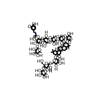 COc1cc(/C=C/C(=O)O[C@H]2[C@H](O[C@@H]3[C@@H](O)[C@H](O[C@@H]4CO[C@@H](O[C@@H]5[C@@H](O)[C@H](C)O[C@@H](O[C@H]6[C@H](O[C@H]7CC[C@]8(C)[C@H]9CC=C%10[C@@H]%11CC(C)(C)CC[C@]%11(C(=O)O[C@@H]%11O[C@H](CO[C@@H]%12O[C@H](CO)[C@@H](O[C@@H]%13O[C@@H](C)[C@H](O)[C@@H](O)[C@H]%13O)[C@H](O)[C@H]%12O)[C@@H](O)[C@H](O)[C@H]%11O)CC[C@@]%10(C)[C@]9(C)CC[C@H]8C7(C)C)OC[C@H](O)[C@@H]6O)[C@@H]5O)[C@H](O)[C@@H]4O)O[C@H](CO)[C@H]3O)O[C@H](CO[C@@H]3O[C@@H](C)[C@H](O)[C@@H](O)[C@H]3O)[C@@H](O)[C@@H]2O)ccc1O